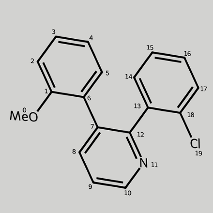 COc1ccccc1-c1cccnc1-c1ccccc1Cl